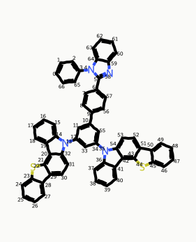 c1ccc(-n2c(-c3ccc(-c4cc(-n5c6ccccc6c6c7sc8ccccc8c7ccc65)cc(-n5c6ccccc6c6c7sc8ccccc8c7ccc65)c4)cc3)nc3ccccc32)cc1